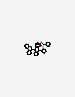 c1ccc(-c2nc3ccccc3n2-c2ccccc2-c2c3ccccc3c(-c3cc4ccccc4c4ccccc34)c3ccccc23)cc1